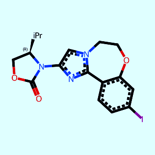 CC(C)[C@@H]1COC(=O)N1c1cn2c(n1)-c1ccc(I)cc1OCC2